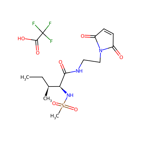 CC[C@H](C)[C@H](NS(C)(=O)=O)C(=O)NCCN1C(=O)C=CC1=O.O=C(O)C(F)(F)F